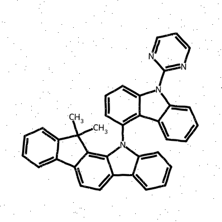 CC1(C)c2ccccc2-c2ccc3c4ccccc4n(-c4cccc5c4c4ccccc4n5-c4ncccn4)c3c21